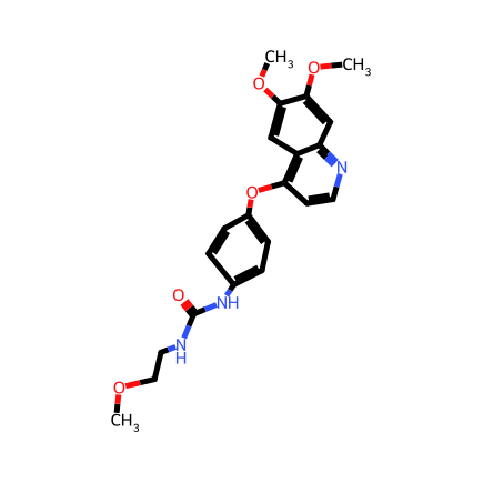 COCCNC(=O)Nc1ccc(Oc2ccnc3cc(OC)c(OC)cc23)cc1